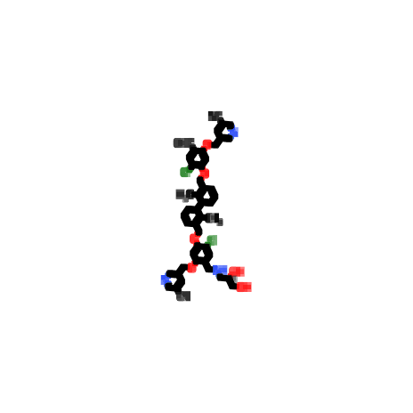 Cc1c(COc2cc(OCc3cncc(C#N)c3)c(C=O)cc2Cl)cccc1-c1cccc(COc2cc(OCc3cncc(C#N)c3)c(CNC[C@@H](O)CO)cc2Cl)c1C